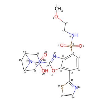 COCCNS(=O)(=O)c1ccc(-c2nccs2)c2oc(N3CC4CC(C3)N4C(=O)O)nc12